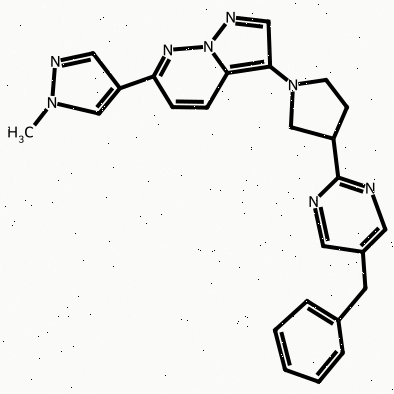 Cn1cc(-c2ccc3c(N4CCC(c5ncc(Cc6ccccc6)cn5)C4)cnn3n2)cn1